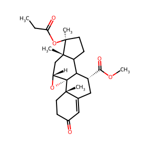 CCC(=O)O[C@@]1(C)CCC2C3[C@H](C(=O)OC)CC4=CC(=O)CC[C@]4(C)[C@]34O[C@@H]4C[C@@]21C